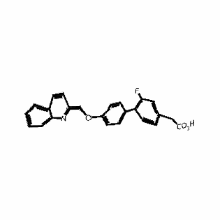 O=C(O)Cc1ccc(-c2ccc(OCc3ccc4ccccc4n3)cc2)c(F)c1